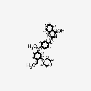 CCc1ccc(N(C)c2ccc(Oc3nc(O)c4ccncc4n3)cc2)cc1N1CCOCC1